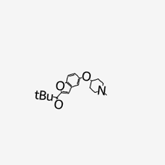 CN1CCC(Oc2ccc3oc(C(=O)C(C)(C)C)cc3c2)CC1